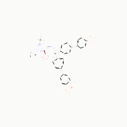 CC(C)(F)C[C@H](NC(c1ccc(-c2ccc(S(C)(=O)=O)cc2)cc1)(c1ccc(-c2ccc(S(C)(=O)=O)cc2)cc1)C(F)(F)F)C(=O)NC1(C#N)CC1